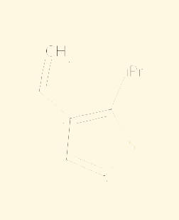 C=Cc1ccsc1C(C)C